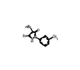 CCCCc1c(CC)[nH]n(-c2cccc(C)c2)c1=O